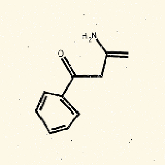 C=C(N)CC(=O)c1ccccc1